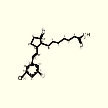 O=C(O)CCCCCCC1C(=O)CCC1C=Cc1cc(Cl)cc(Cl)c1